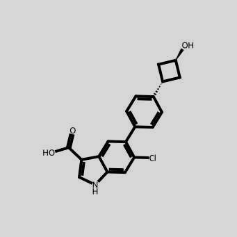 O=C(O)c1c[nH]c2cc(Cl)c(-c3ccc([C@H]4C[C@H](O)C4)cc3)cc12